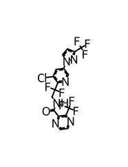 O=C(NCC(F)(F)c1ncc(-n2ccc(C(F)(F)F)n2)cc1Cl)c1nccnc1C(F)(F)F